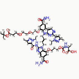 CCn1nc(C)cc1C(=O)Nc1nc2cc(C(N)=O)cc(OCCCOC(=O)NC(C)C(=O)O)c2n1CC=CCn1c2nc(-c3cc(C)nn3CC)ncc2c2cc(C(N)=O)cc(OCCOCCOCCC(=O)OC(C)(C)C)c21